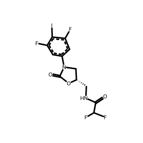 O=C(NC[C@H]1CN(c2cc(F)c(I)c(F)c2)C(=O)O1)C(F)F